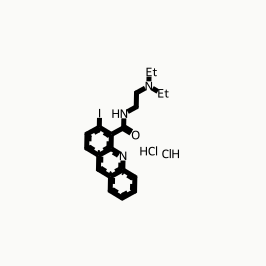 CCN(CC)CCNC(=O)c1c(I)ccc2cc3ccccc3nc12.Cl.Cl